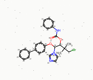 CC(C)(CBr)C(OC(=O)Nc1ccccc1)C(Oc1ccc(-c2ccccc2)cc1)n1ccnc1